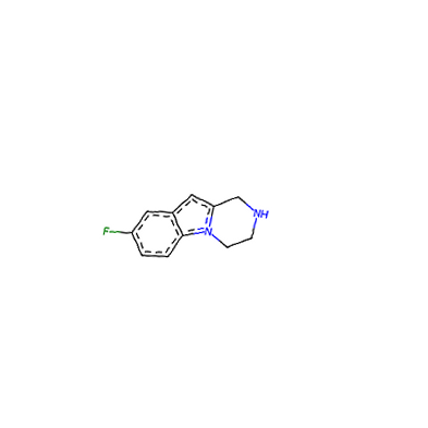 Fc1ccc2c(c1)cc1n2CCNC1